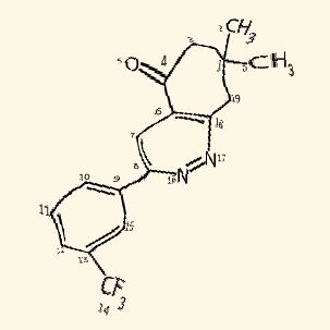 CC1(C)CC(=O)c2cc(-c3cccc(C(F)(F)F)c3)nnc2C1